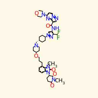 CN1C(=O)CCC(n2c(=O)n(C)c3c(CCCOC4CCN(C[C@H]5CC[C@H](n6cc(NC(=O)c7cnn8ccc(N9CCOCC9)nc78)c(C(F)F)n6)CC5)CC4)cccc32)C1=O